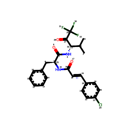 CC(C)[C@H](NC(=O)[C@H](Cc1ccccc1)NC(=O)/C=C/c1ccc(Cl)cc1)C(=O)C(F)(F)F